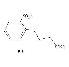 CCCCCCCCCCCCc1ccccc1S(=O)(=O)O.[KH]